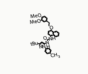 COc1ccc(CCOc2ccc(NC(=O)Nc3cc(C(C)(C)C)nn3-c3ccc(C)cc3)c3ccccc23)cc1OC